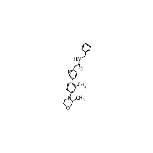 Cc1cc(N2CCOC[C@@H]2C)ccc1-c1ccc(CC(=O)NCc2ccccc2)nc1